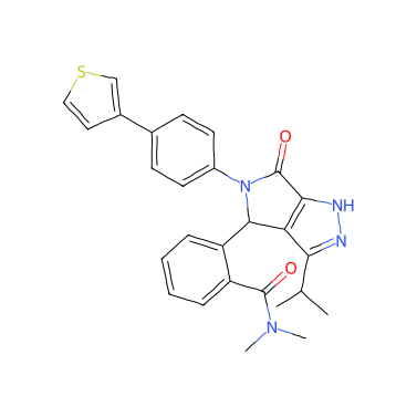 CC(C)c1n[nH]c2c1C(c1ccccc1C(=O)N(C)C)N(c1ccc(-c3ccsc3)cc1)C2=O